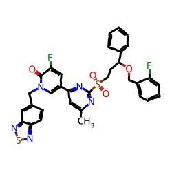 Cc1cc(-c2cc(F)c(=O)n(Cc3ccc4nsnc4c3)c2)nc(S(=O)(=O)CCC(OCc2ccccc2F)c2ccccc2)n1